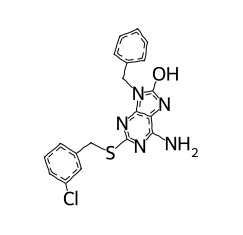 Nc1nc(SCc2cccc(Cl)c2)nc2c1nc(O)n2Cc1ccccc1